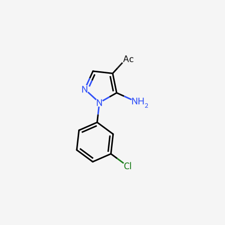 CC(=O)c1cnn(-c2cccc(Cl)c2)c1N